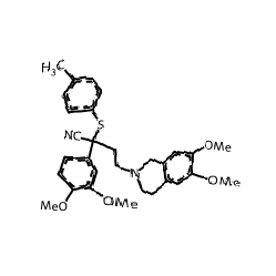 COc1ccc(C(C#N)(CCN2CCc3cc(OC)c(OC)cc3C2)Sc2ccc(C)cc2)cc1OC